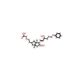 O=C(O)COCCC1C[C@H]2C[C@H](O)[C@@H](C=CC(O)CCCOc3ccccc3)[C@@H]2C1